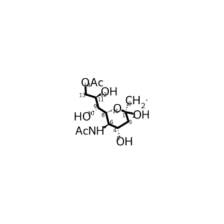 [CH2][C@]1(O)C[C@H](O)[C@@H](NC(C)=O)[C@H]([C@H](O)[C@H](O)COC(C)=O)O1